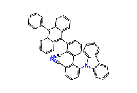 N#Cc1cccc(-n2c3ccccc3c3ccccc32)c1-c1cccc(-c2c3ccccc3c(-c3ccccc3)c3ccccc23)c1C#N